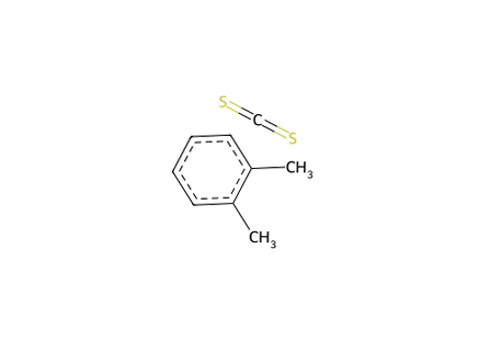 Cc1ccccc1C.S=C=S